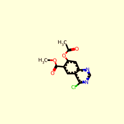 COC(=O)c1cc2c(Cl)ncnc2cc1OC(C)=O